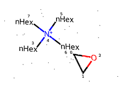 C1CO1.CCCCCC[N+](CCCCCC)(CCCCCC)CCCCCC